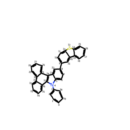 c1ccc(-n2c3ccc(-c4ccc5sc6ccccc6c5c4)cc3c3c4ccccc4c4ccccc4c32)cc1